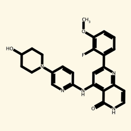 COc1cccc(-c2cc(Nc3ccc(N4CCC(O)CC4)cn3)c3c(=O)[nH]ccc3n2)c1F